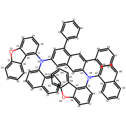 c1ccc(-c2cc3c(-c4ccccc4)cc(N(c4cccc5ccccc45)c4cccc5oc6ccccc6c45)cc3cc2N(c2cccc3ccccc23)c2cccc3oc4ccccc4c23)cc1